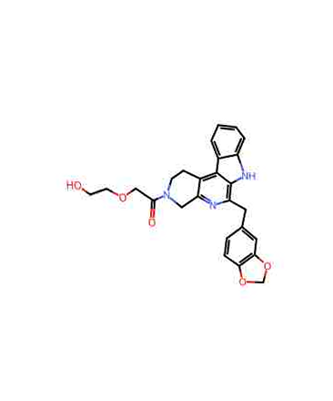 O=C(COCCO)N1CCc2c(nc(Cc3ccc4c(c3)OCO4)c3[nH]c4ccccc4c23)C1